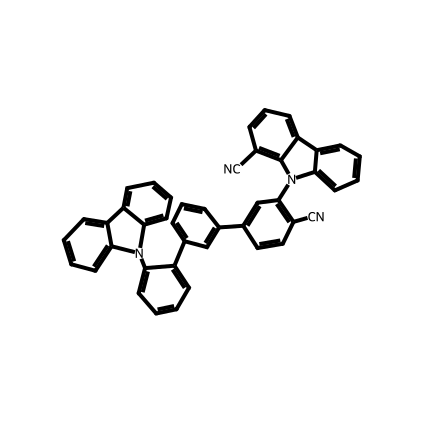 N#Cc1ccc(-c2cccc(-c3ccccc3-n3c4ccccc4c4ccccc43)c2)cc1-n1c2ccccc2c2cccc(C#N)c21